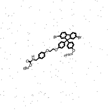 CCCCCCOc1ccc(C2(c3ccc(OCCOc4ccc(CNC(=O)OC(C)(C)C)cc4)cc3)c3cc(Br)ccc3-c3ccc(Br)cc32)cc1